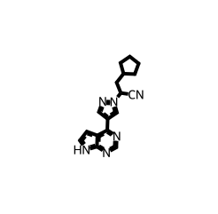 N#CC(CC1CCCC1)n1cc(-c2ncnc3[nH]ccc23)cn1